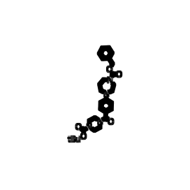 CC(C)(C)OC(=O)N1CCN(C(=O)c2ccc(N3CCCN(C(=O)OCc4ccccc4)CC3)cc2)CC1